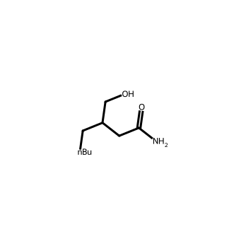 CCCCCC(CO)CC(N)=O